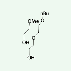 CCCCOCCOCCO.COCCO